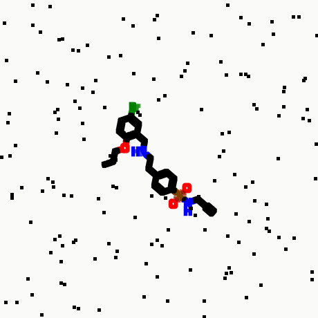 C#CCNS(=O)(=O)c1ccc(CCNCc2cc(Br)ccc2OCCC)cc1